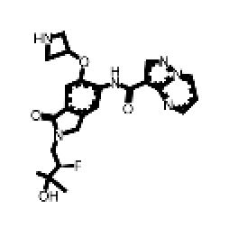 CC(C)(O)[C@H](F)CN1Cc2cc(NC(=O)c3cnn4cccnc34)c(OC3CNC3)cc2C1=O